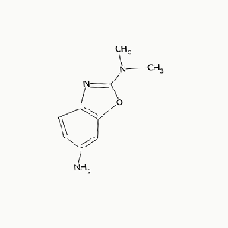 CN(C)c1nc2ccc(N)cc2o1